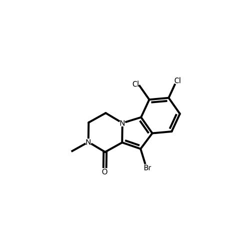 CN1CCn2c(c(Br)c3ccc(Cl)c(Cl)c32)C1=O